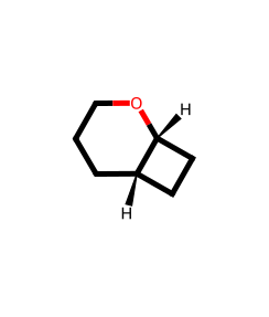 C1CO[C@@H]2CC[C@@H]2C1